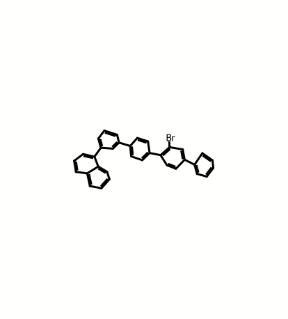 Brc1cc(-c2ccccc2)ccc1-c1ccc(-c2cccc(-c3cccc4ccccc34)c2)cc1